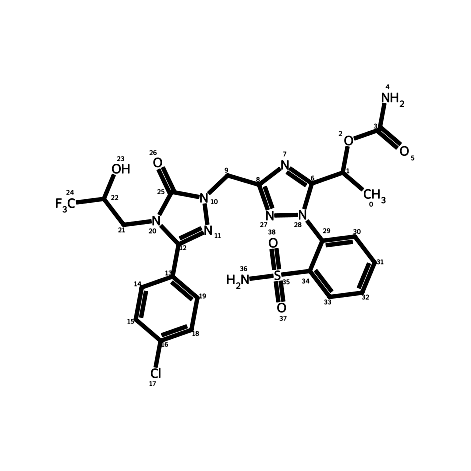 CC(OC(N)=O)c1nc(Cn2nc(-c3ccc(Cl)cc3)n(CC(O)C(F)(F)F)c2=O)nn1-c1ccccc1S(N)(=O)=O